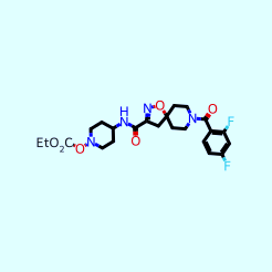 CCOC(=O)ON1CCC(NC(=O)C2=NOC3(CCN(C(=O)c4ccc(F)cc4F)CC3)C2)CC1